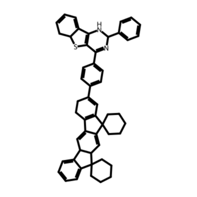 C1=CCC2SC3=C(NC(c4ccccc4)N=C3c3ccc(C4=CC5=C(CC4)C4=CC6c7ccccc7C7(CCCCC7)C6C=C4C54CCCCC4)cc3)C2=C1